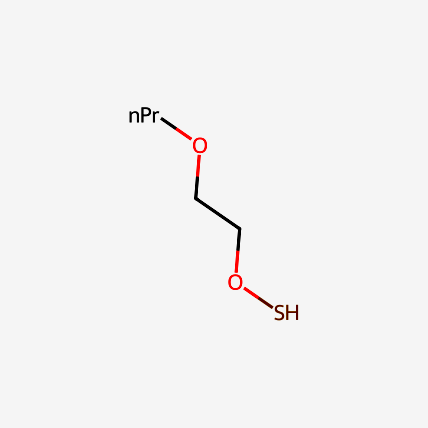 CCCOCCOS